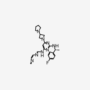 C=N/C=C\N=C\Nc1cc(N2CC(N3CCCC3)C2)nc(N[C@@H](C)c2ccc(F)cc2)n1